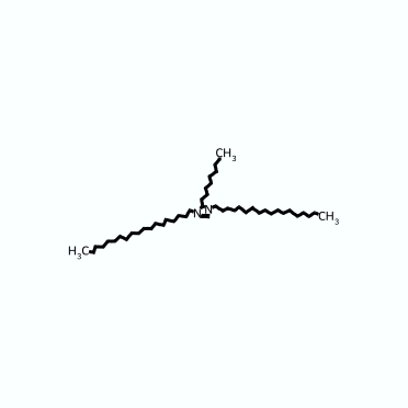 CCCCCCCCCCCCCCCCCCCN1C=CN(CCCCCCCCCCCCCCCCCC)C1CCCCCCCCC